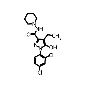 CCc1c(C(=O)NN2CCCCC2)nn(-c2ccc(Cl)cc2Cl)c1O